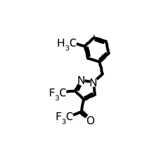 Cc1[c]ccc(Cn2cc(C(=O)C(F)(F)F)c(C(F)(F)F)n2)c1